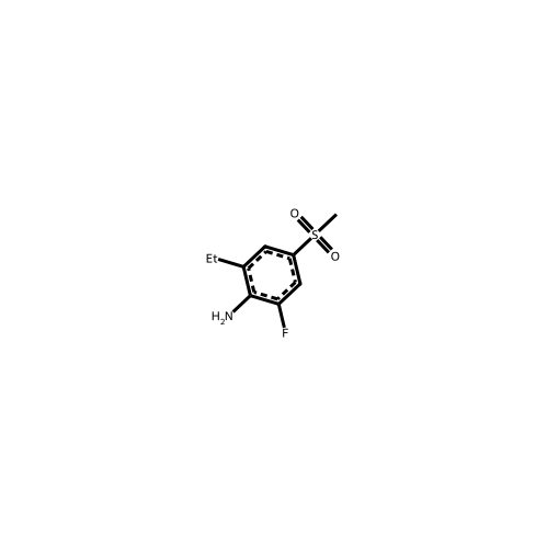 CCc1cc(S(C)(=O)=O)cc(F)c1N